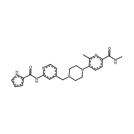 CNC(=O)c1ccc(N2CCN(Cc3ccnc(NC(=O)c4ccc[nH]4)c3)CC2)c(C)n1